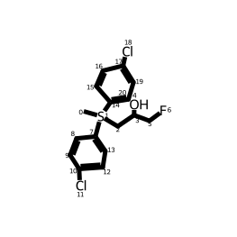 CS(CC(O)CF)(c1ccc(Cl)cc1)c1ccc(Cl)cc1